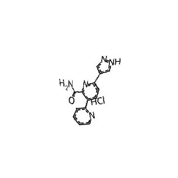 Cl.NC(=O)c1nc(-c2cn[nH]c2)ccc1-c1ccccn1